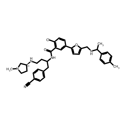 Cc1ccc(C(C)NCc2ccc(-c3ccc(Cl)c(C(=O)NC(CCN[C@H]4CCN(C)C4)Cc4ccc(C#N)cc4)c3)o2)cc1